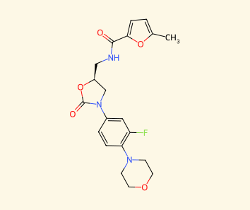 Cc1ccc(C(=O)NC[C@H]2CN(c3ccc(N4CCOCC4)c(F)c3)C(=O)O2)o1